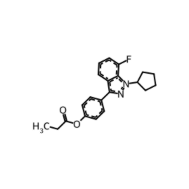 CCC(=O)Oc1ccc(-c2nn(C3CCCC3)c3c(F)cccc23)cc1